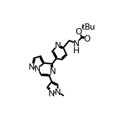 Cn1cc(-c2cn3nccc3c(-c3ccc(CNC(=O)OC(C)(C)C)nc3)n2)cn1